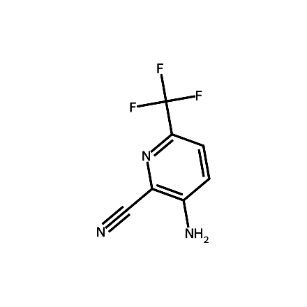 N#Cc1nc(C(F)(F)F)ccc1N